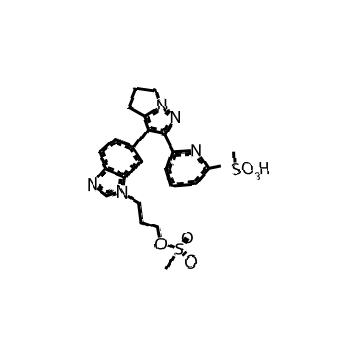 CS(=O)(=O)O.Cc1cccc(-c2nn3c(c2-c2ccc4ncn(CCCOS(C)(=O)=O)c4c2)CCC3)n1